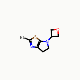 CCc1nc2c(s1)N(C1COC1)CC2